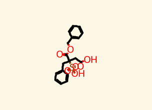 O=C(O)CC(Cc1ccccc1)(C(=O)OCc1ccccc1)S(=O)(=O)O